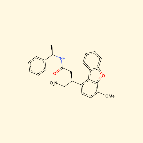 COc1ccc([C@H](CC(=O)N[C@H](C)c2ccccc2)C[N+](=O)[O-])c2c1oc1ccccc12